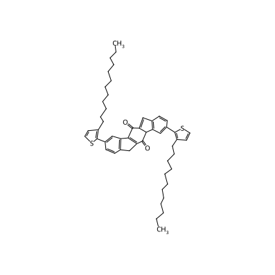 CCCCCCCCCCCCc1ccsc1-c1ccc2c(c1)C1=C(C2)C(=O)C2C(=Cc3ccc(-c4sccc4CCCCCCCCCCCC)cc32)C1=O